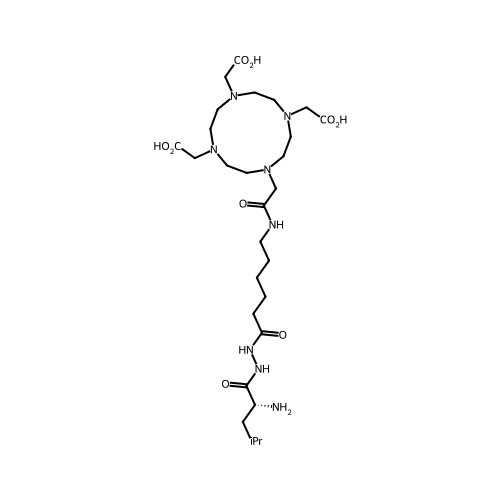 CC(C)C[C@@H](N)C(=O)NNC(=O)CCCCCNC(=O)CN1CCN(CC(=O)O)CCN(CC(=O)O)CCN(CC(=O)O)CC1